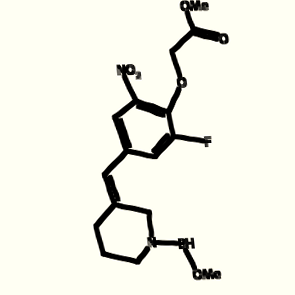 COBN1CCCC(=Cc2cc(F)c(OCC(=O)OC)c([N+](=O)[O-])c2)C1